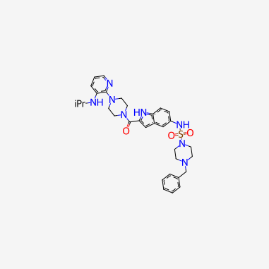 CC(C)Nc1cccnc1N1CCN(C(=O)c2cc3cc(NS(=O)(=O)N4CCN(Cc5ccccc5)CC4)ccc3[nH]2)CC1